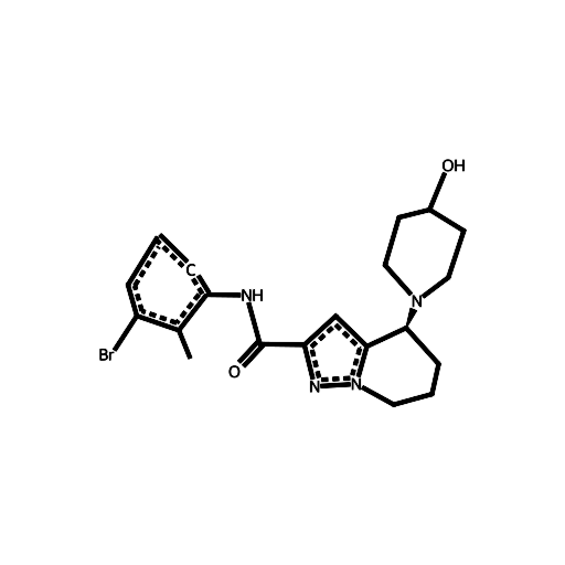 Cc1c(Br)cccc1NC(=O)c1cc2n(n1)CCC[C@@H]2N1CCC(O)CC1